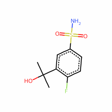 CC(C)(O)c1cc(S(N)(=O)=O)ccc1F